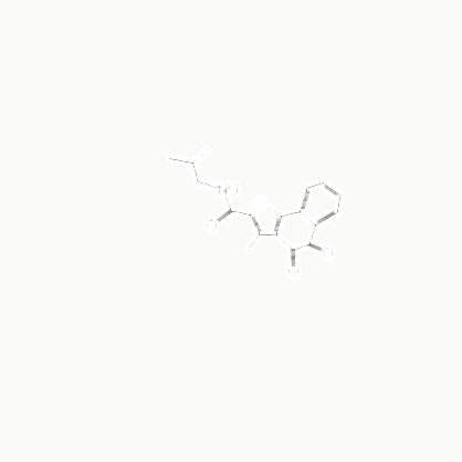 Cc1c(C(=O)NCC(C)C)oc2c1C(=O)C(=O)c1ccccc1-2